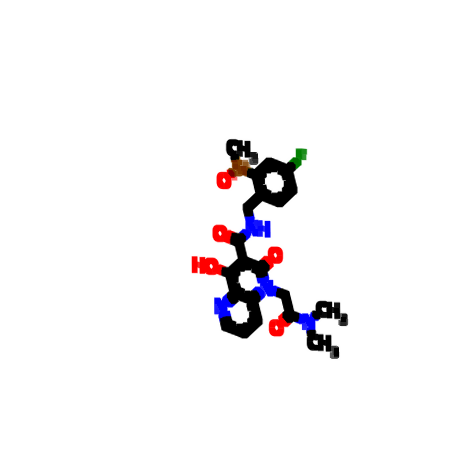 CN(C)C(=O)Cn1c(=O)c(C(=O)NCc2ccc(F)cc2[S+](C)[O-])c(O)c2ncccc21